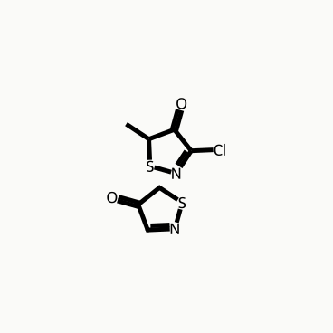 CC1SN=C(Cl)C1=O.O=C1C=NSC1